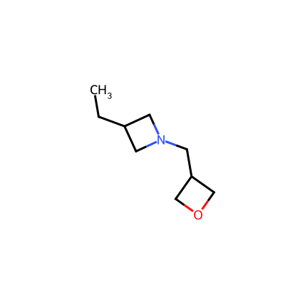 CCC1CN(CC2COC2)C1